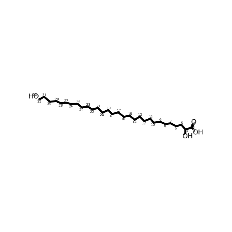 O=C(O)C(O)CCCCCCCCCCCCCCCCCCCCCCCCCCCCO